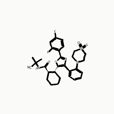 CC(C)(C#N)NC(=O)[C@@H]1CCCC[C@H]1c1oc(-c2ccc(F)cc2F)nc1-c1ccccc1N1CCS(=O)(=O)CC1